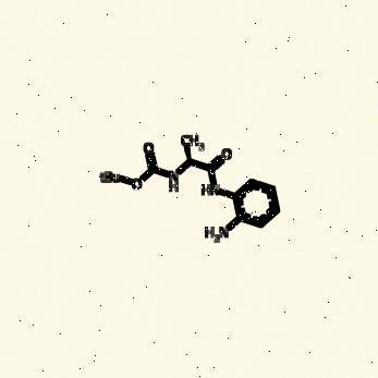 C[C@H](NC(=O)OC(C)(C)C)C(=O)Nc1ccccc1N